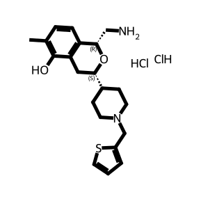 Cc1ccc2c(c1O)C[C@@H](C1CCN(Cc3cccs3)CC1)O[C@H]2CN.Cl.Cl